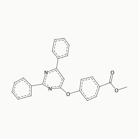 COC(=O)c1ccc(Oc2cc(-c3ccccc3)nc(-c3ccccc3)n2)cc1